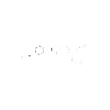 C#Cc1ccc(CC(=C)CCCN(CCC)CCCC)cc1